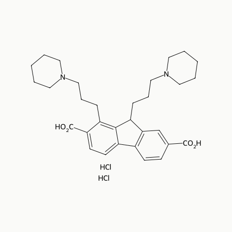 Cl.Cl.O=C(O)c1ccc2c(c1)C(CCCN1CCCCC1)c1c-2ccc(C(=O)O)c1CCCN1CCCCC1